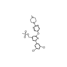 CN1CCN(c2ncc(Oc3cc(COS(C)(=O)=O)cc(-c4cc(Cl)cc(Cl)c4)n3)cn2)CC1